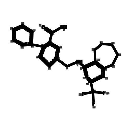 O=C(O)c1cc(CNc2nc(C(F)(F)F)nc3c2CCCCC3)ccc1-c1ccccc1